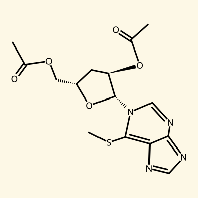 CSc1c2ncnc-2ncn1[C@@H]1O[C@H](COC(C)=O)C[C@H]1OC(C)=O